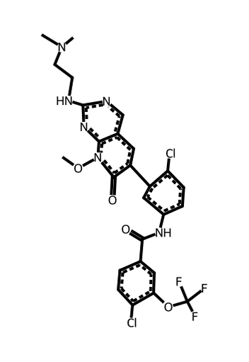 COn1c(=O)c(-c2cc(NC(=O)c3ccc(Cl)c(OC(F)(F)F)c3)ccc2Cl)cc2cnc(NCCN(C)C)nc21